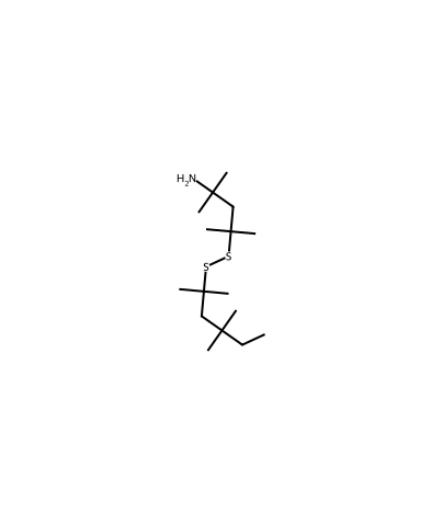 CCC(C)(C)CC(C)(C)SSC(C)(C)CC(C)(C)N